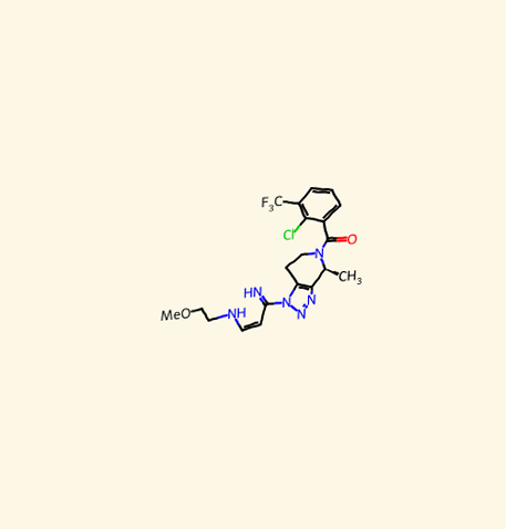 COCCN/C=C\C(=N)n1nnc2c1CCN(C(=O)c1cccc(C(F)(F)F)c1Cl)[C@H]2C